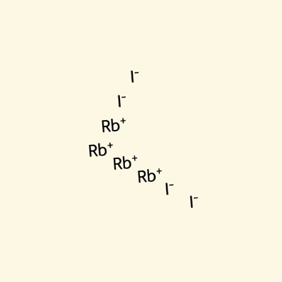 [I-].[I-].[I-].[I-].[Rb+].[Rb+].[Rb+].[Rb+]